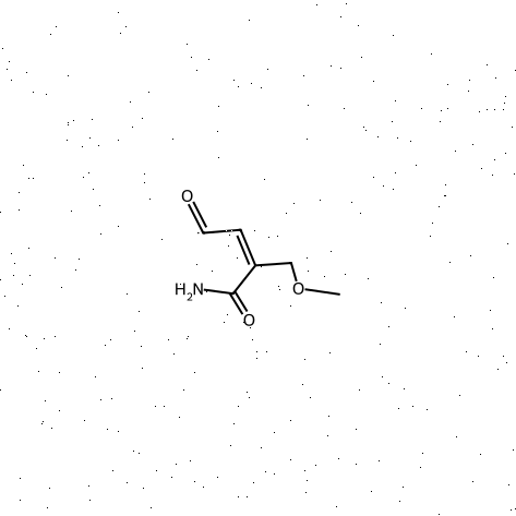 COCC(=C[C]=O)C(N)=O